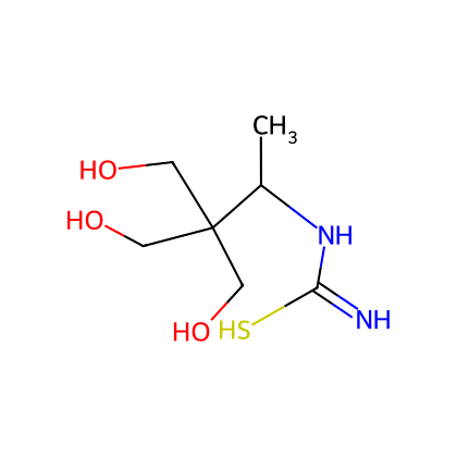 CC(NC(=N)S)C(CO)(CO)CO